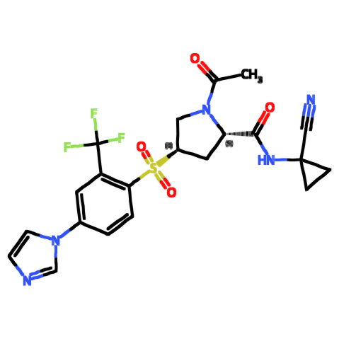 CC(=O)N1C[C@H](S(=O)(=O)c2ccc(-n3ccnc3)cc2C(F)(F)F)C[C@H]1C(=O)NC1(C#N)CC1